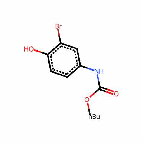 CCCCOC(=O)Nc1ccc(O)c(Br)c1